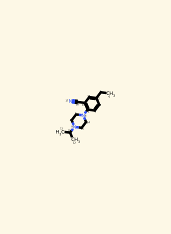 CCc1ccc(N2CCN(C(C)C)CC2)c(C#N)c1